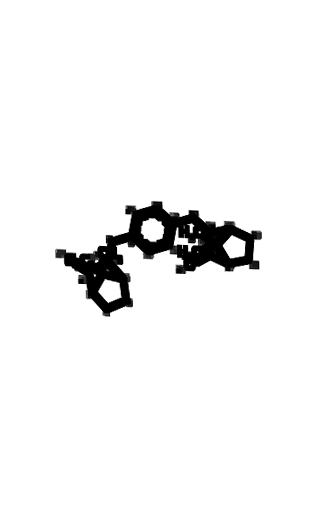 CC1(C)[C]2CCC1C(Cc1ccc(CC3C(=O)[C]4CCC3C4(C)C)cc1)C2=O